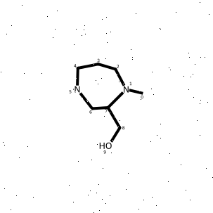 CN1CCC[N]CC1CO